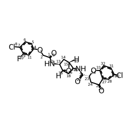 O=C(COc1ccc(Cl)c(F)c1)N[C@H]1C[C@H]2O[C@@H]1C[C@@H]2NC(=O)[C@H]1CC(=O)c2cc(Cl)ccc2O1